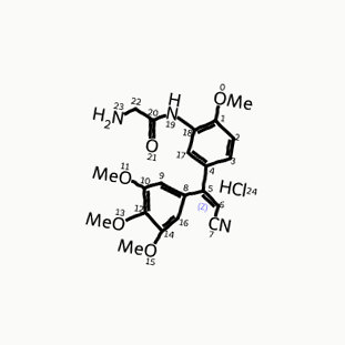 COc1ccc(/C(=C/C#N)c2cc(OC)c(OC)c(OC)c2)cc1NC(=O)CN.Cl